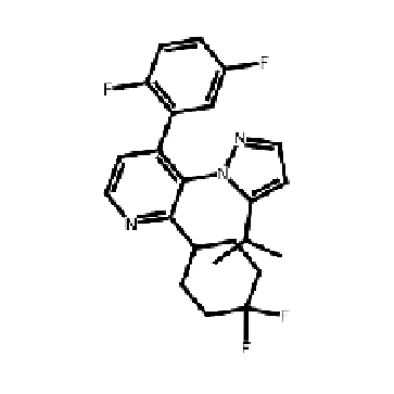 CC(C)c1ccnn1-c1c(-c2cc(F)ccc2F)ccnc1C1CCC(F)(F)CC1